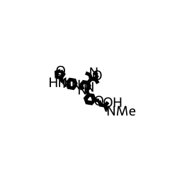 CNCC(O)COc1cccc(-c2nc(-c3c(C)noc3C)cc(N3CCN(NC4CCOC4)CC3)n2)c1